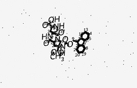 COC(=O)[C@]1(NC(=O)OCC2c3ccccc3-c3ccccc32)CC2C(=O)N[C@@]3(CN[C@H](C(=O)O)C3)C(=O)N2C1